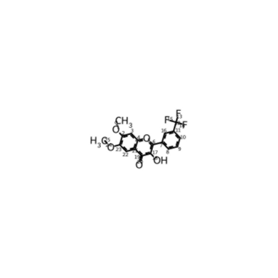 COc1cc2oc(-c3cccc(C(F)(F)F)c3)c(O)c(=O)c2cc1OC